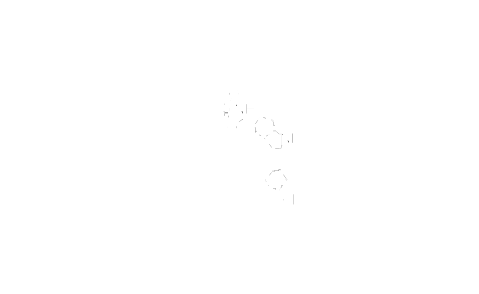 CCCCCS(=O)(=O)NC(=O)c1ccc2[nH]cc(Cc3ccc(Cl)cc3Cl)c2c1